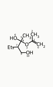 C=C(C)OC(C)(O)C(CC)CO